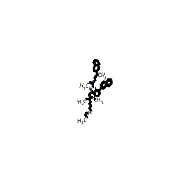 C=CC(C/C=C/C/C=N\C=C/CC)/C(=C/C(NC/C(=C/C=C(\C)C1=Cc2ccccc2CC1)CC)C1=CCCC(c2ccc3ccccc3c2)=C1)N=C